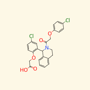 O=C(O)COc1ccc(Cl)cc1C1c2ccccc2CCN1C(=O)COc1ccc(Cl)cc1